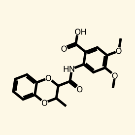 COc1cc(NC(=O)C2Oc3ccccc3OC2C)c(C(=O)O)cc1OC